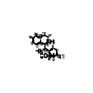 O=C(O)NC(c1ccc(Cl)cc1)C1NCCc2ccccc21